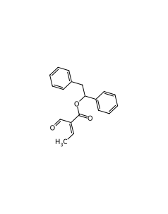 CC=C(C=O)C(=O)OC(Cc1ccccc1)c1ccccc1